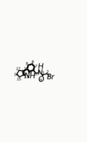 O=C(CBr)NCc1cccc2c3c([nH]c12)CCC3